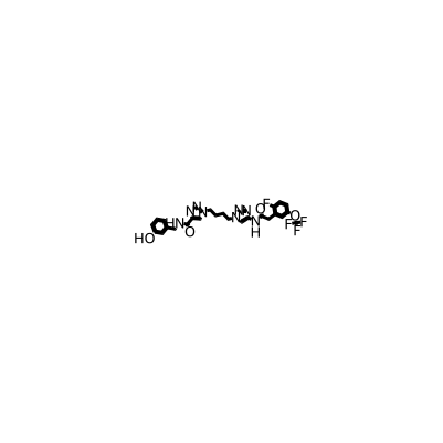 O=C(Cc1cc(OC(F)(F)F)ccc1F)Nc1cn(CCCCn2cc(C(=O)NCc3cccc(O)c3)nn2)nn1